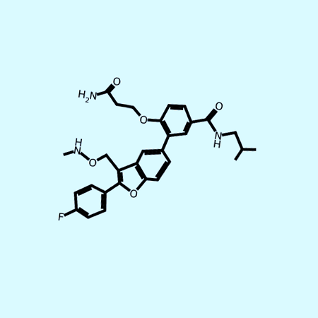 CNOCc1c(-c2ccc(F)cc2)oc2ccc(-c3cc(C(=O)NCC(C)C)ccc3OCCC(N)=O)cc12